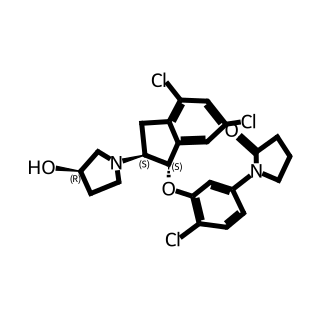 O=C1CCCN1c1ccc(Cl)c(O[C@H]2c3cc(Cl)cc(Cl)c3C[C@@H]2N2CC[C@@H](O)C2)c1